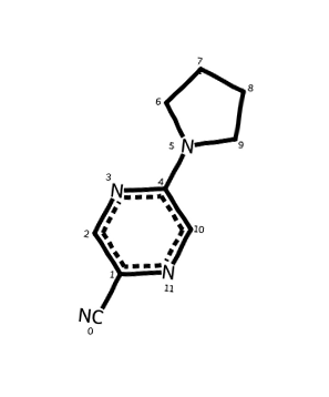 N#Cc1cnc(N2C[CH]CC2)cn1